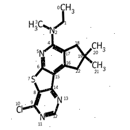 CCN(C)c1nc2sc3c(Cl)ncnc3c2c2c1CC(C)(C)C2